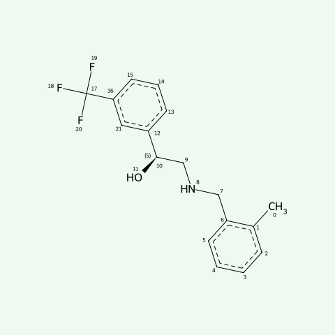 Cc1ccccc1CNC[C@@H](O)c1cccc(C(F)(F)F)c1